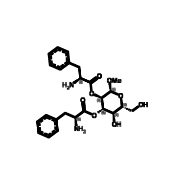 CO[C@H]1O[C@H](CO)[C@@H](O)[C@H](OC(=O)[C@@H](N)Cc2ccccc2)[C@H]1OC(=O)[C@@H](N)Cc1ccccc1